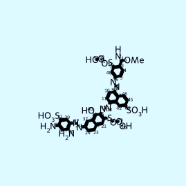 COC(=N)c1ccc(N=Nc2ccc(N=Nc3c(SOOO)cc4ccc(N=Nc5cc(S(=O)(=O)O)c(N)cc5N)cc4c3O)c3cc(S(=O)(=O)O)ccc23)cc1SOOO